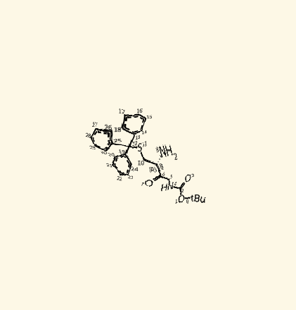 CC(C)(C)OC(=O)NCC(=O)[C@@H](N)CSC(c1ccccc1)(c1ccccc1)c1ccccc1